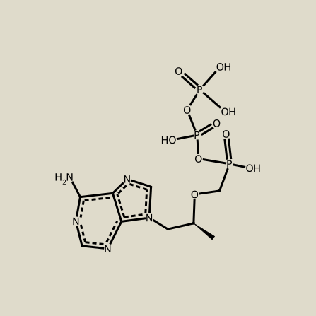 C[C@@H](Cn1cnc2c(N)ncnc21)OCP(=O)(O)OP(=O)(O)OP(=O)(O)O